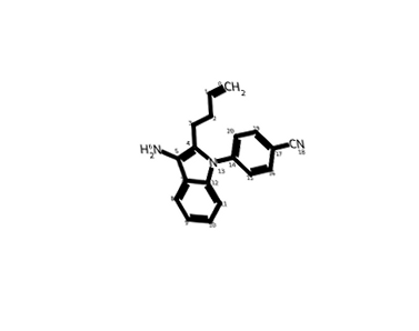 C=CCCc1c(N)c2ccccc2n1-c1ccc(C#N)cc1